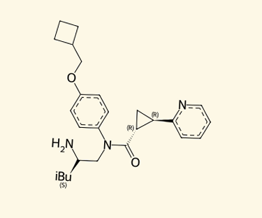 CC[C@H](C)C(N)CN(C(=O)[C@@H]1C[C@H]1c1ccccn1)c1ccc(OCC2CCC2)cc1